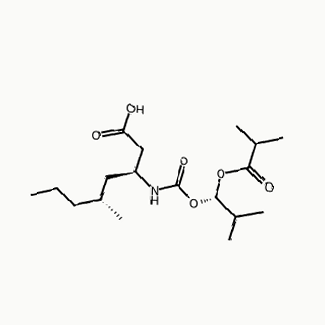 CCC[C@@H](C)C[C@@H](CC(=O)O)NC(=O)O[C@H](OC(=O)C(C)C)C(C)C